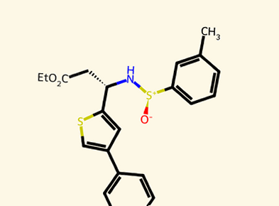 CCOC(=O)C[C@H](N[S@+]([O-])c1cccc(C)c1)c1cc(-c2ccccc2)cs1